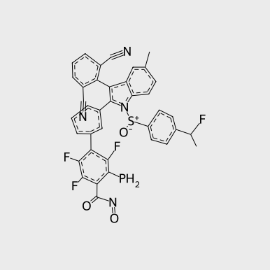 Cc1ccc2c(c1)c(-c1c(C#N)cccc1C#N)c(-c1cccc(-c3c(F)c(F)c(C(=O)N=O)c(P)c3F)c1)n2[S+]([O-])c1ccc(C(C)F)cc1